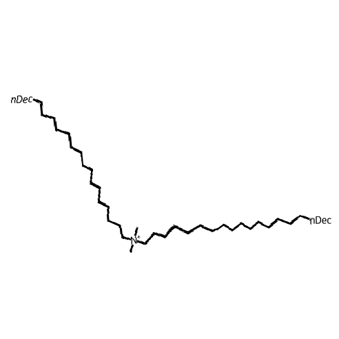 CCCCCCCCCCCCCCCCCCCCCCCCCC[N+](C)(C)CCCCCCCCCCCCCCCCCCCCCCCCCC